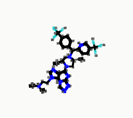 C[C@@H]1CN(c2nc3nncn3c3c2ncn3CCN(C)C)[C@@H](C)CN1[C@@H](c1ccc(C(F)(F)F)cc1)c1ccc(C(F)(F)F)cn1